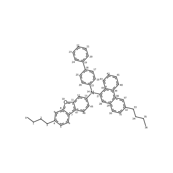 CCCCc1ccc2c(c1)oc1cc(N(c3ccc(-c4ccccc4)cc3)c3cc4ccc(CCCC)cc4c4ccccc34)ccc12